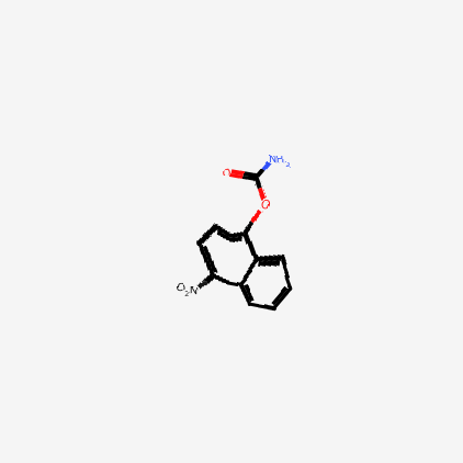 NC(=O)Oc1ccc([N+](=O)[O-])c2ccccc12